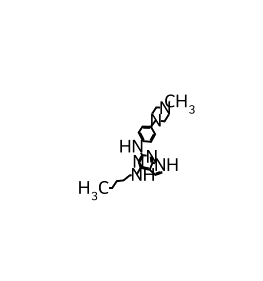 CCCCCNc1nc(Nc2ccc(N3CCN(C)CC3)cc2)nc2[nH]ccc12